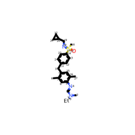 CCN(C)C=Nc1cc(C)c(Cc2ccc(S(C)(=O)=NCC3CC3)cc2)cc1C